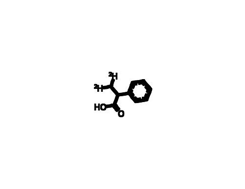 [2H]C([2H])C(C(=O)O)c1ccccc1